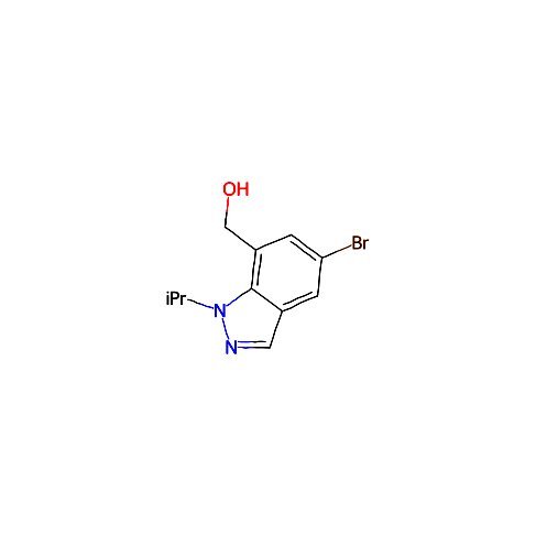 CC(C)n1ncc2cc(Br)cc(CO)c21